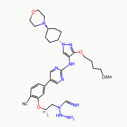 COCCCCOc1nn([C@H]2CC[C@H](N3CCOCC3)CC2)cc1Nc1ncc(-c2ccc(C#N)c(O[C@@H](C)CN(C=N)NN)c2)cn1